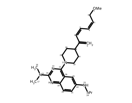 C=C(/C=C\C=C/COC)C1CCN(c2nc(N(C)C)nc3ccc(NCCC)cc23)CC1